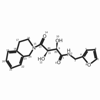 O=C(NCc1ccco1)[C@H](O)[C@@H](O)C(=O)N1CCc2ccccc2C1